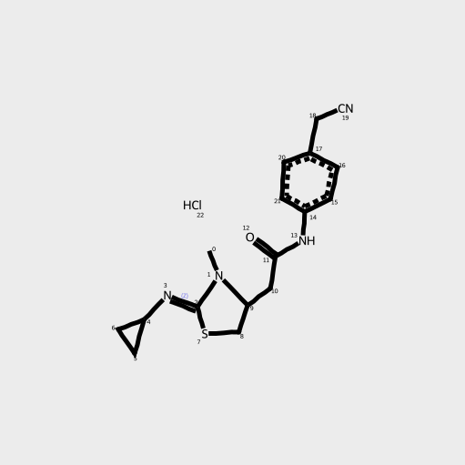 CN1/C(=N/C2CC2)SCC1CC(=O)Nc1ccc(CC#N)cc1.Cl